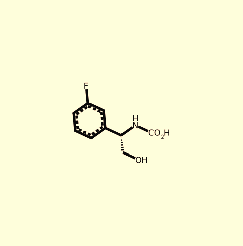 O=C(O)N[C@H](CO)c1cccc(F)c1